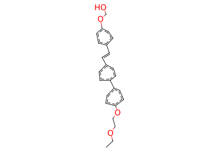 CCOCCOc1ccc(-c2ccc(C=Cc3ccc(OCO)cc3)cc2)cc1